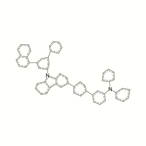 c1ccc(-c2cc(-c3cccc4ccccc34)cc(-n3c4ccccc4c4cc(-c5ccc(-c6cccc(N(c7ccccc7)c7ccccc7)c6)cc5)ccc43)c2)cc1